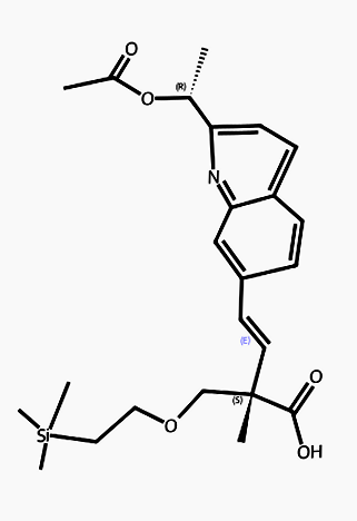 CC(=O)O[C@H](C)c1ccc2ccc(/C=C/[C@@](C)(COCC[Si](C)(C)C)C(=O)O)cc2n1